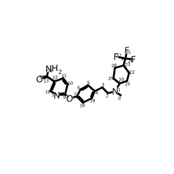 CN(CCc1ccc(Oc2ccc(C(N)=O)cn2)cc1)C1CCC(C(F)(F)F)CC1